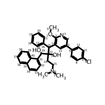 COc1ncc(-c2ccc(Cl)cc2)cc1[C](c1ccccc1)C(O)(CCN(C)C)C(O)c1cccc2ccccc12